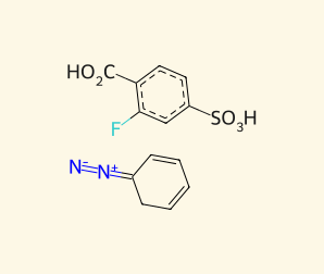 O=C(O)c1ccc(S(=O)(=O)O)cc1F.[N-]=[N+]=C1C=CC=CC1